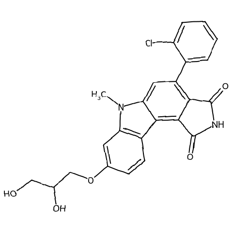 Cn1c2cc(OCC(O)CO)ccc2c2c3c(c(-c4ccccc4Cl)cc21)C(=O)NC3=O